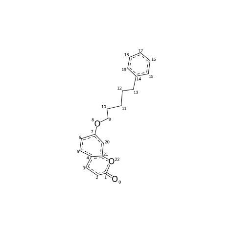 O=c1ccc2ccc(OCCCCCc3ccccc3)cc2o1